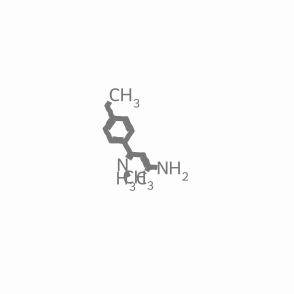 CCc1ccc(C(/C=C(\C)N)=N/C)cc1